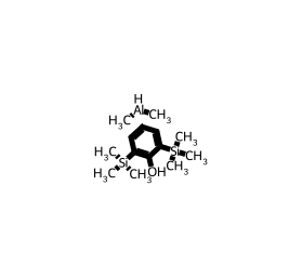 C[Si](C)(C)c1c[c]cc([Si](C)(C)C)c1O.[CH3][AlH][CH3]